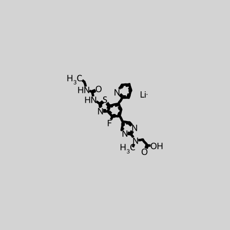 CCNC(=O)Nc1nc2c(F)c(-c3cnc(N(C)CC(=O)O)nc3)cc(-c3ccccn3)c2s1.[Li]